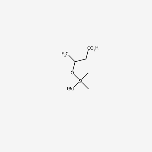 CC(C)(C)[Si](C)(C)OC(CC(=O)O)C(F)(F)F